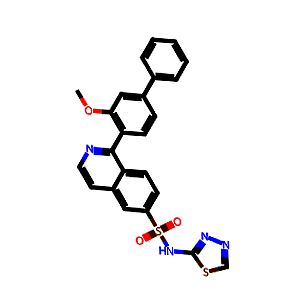 COc1cc(-c2ccccc2)ccc1-c1nccc2cc(S(=O)(=O)Nc3nncs3)ccc12